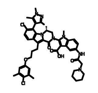 Cc1cc(OCCCc2c3n(c4c(-c5c(C)nn(C)c5C)c(Cl)ccc24)[C@H](C)CN(c2c(C(=O)O)c4cc(NC(=O)CN5CCCCC5)ccc4n2C)C3=O)cc(C)c1Cl